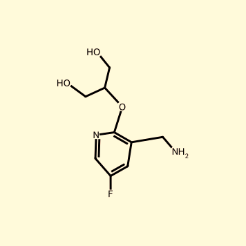 NCc1cc(F)cnc1OC(CO)CO